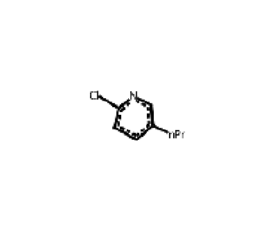 C[CH]Cc1ccc(Cl)nc1